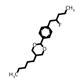 C[CH]CC(F)Cc1ccc(C2OCC(CCCCC)CO2)cc1